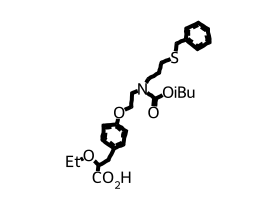 CCOC(Cc1ccc(OCCN(CCCSCc2ccccc2)C(=O)OCC(C)C)cc1)C(=O)O